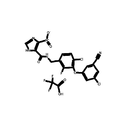 N#Cc1cc(Cl)cc(Oc2c(Cl)ccc(CNC(=O)c3[nH]cnc3[N+](=O)[O-])c2F)c1.O=C(O)C(F)(F)F